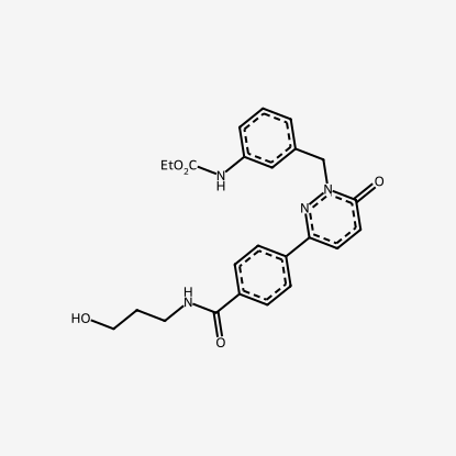 CCOC(=O)Nc1cccc(Cn2nc(-c3ccc(C(=O)NCCCO)cc3)ccc2=O)c1